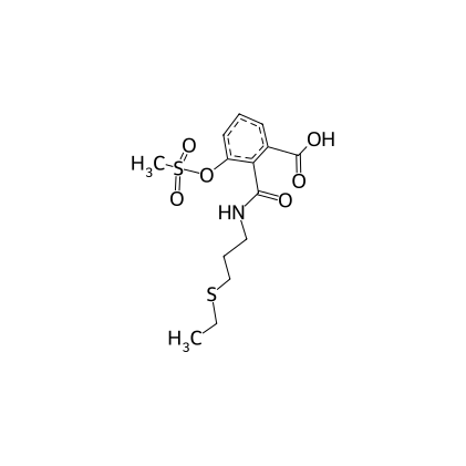 CCSCCCNC(=O)c1c(OS(C)(=O)=O)cccc1C(=O)O